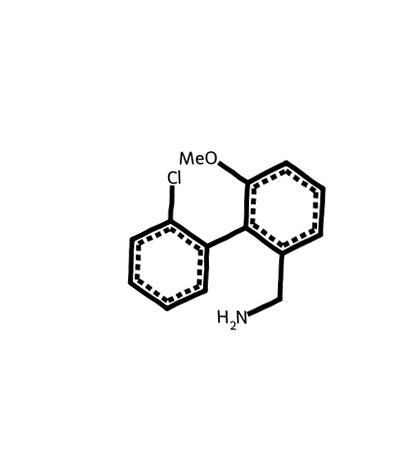 COc1cccc(CN)c1-c1ccccc1Cl